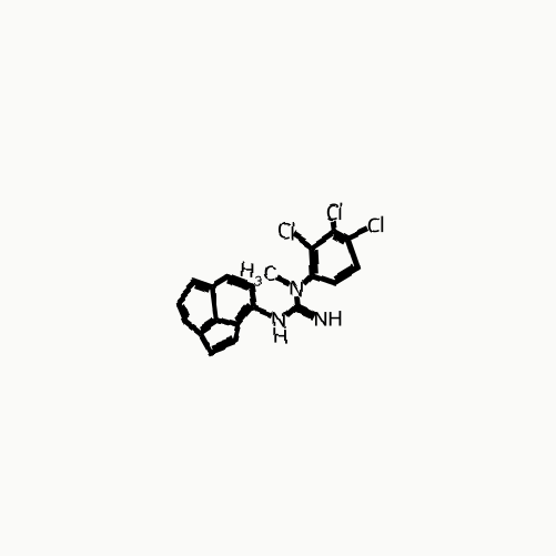 CN(C(=N)Nc1ccc2cccc3c2c1C=C3)c1ccc(Cl)c(Cl)c1Cl